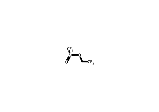 O=S(OCC(F)(F)F)C(F)(F)F